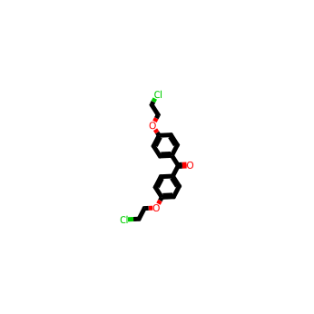 O=C(c1ccc(OCCCl)cc1)c1ccc(OCCCl)cc1